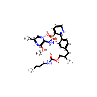 CCCCNC(=O)OCC(C)Cc1ccc(-c2ncccc2S(=O)(=O)Nc2ncc(C)nc2OC)cc1